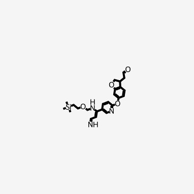 C[Si](C)(C)CCOCN/C(=C\C=N)c1ccc(Oc2ccc3c(c2)OCC3CC=O)nc1